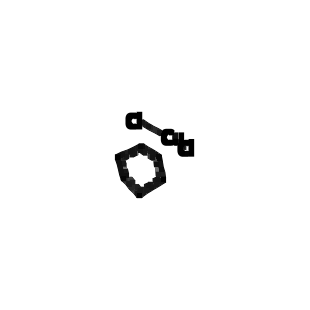 [Cl][Cu][Cl].c1ccccc1